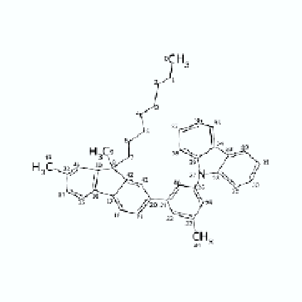 CCCCCCCCC1(C)c2cc(C)ccc2-c2ccc(-c3cc(C)cc(-n4c5ccccc5c5ccccc54)c3)cc21